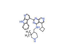 CC1(C)CNCCC1CNc1nc(-c2ccnc3[nH]c4ccccc4c23)nc2cncc(C3CCC3)c12